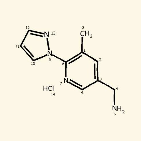 Cc1cc(CN)cnc1-n1cccn1.Cl